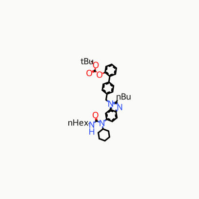 CCCCCCNC(=O)N(c1ccc2nc(CCCC)n(Cc3ccc(-c4ccccc4OC(=O)OC(C)(C)C)cc3)c2c1)C1CCCCC1